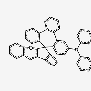 c1ccc(N(c2ccccc2)c2ccc3c(c2)-c2ccccc2-c2ccccc2C32c3ccccc3-c3cc4ccccc4cc32)cc1